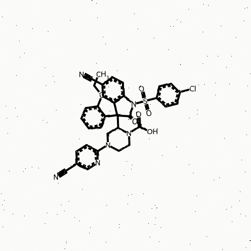 CCOc1ccccc1C1(C2CN(c3ccc(C#N)cn3)CCN2C(=O)O)C(=O)N(S(=O)(=O)c2ccc(Cl)cc2)c2ccc(C#N)cc21